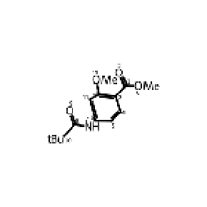 COC(=O)c1ccc(NC(=O)C(C)(C)C)cc1OC